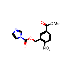 COC(=O)c1ccc([N+](=O)[O-])c(COC(=O)n2ccnc2)c1